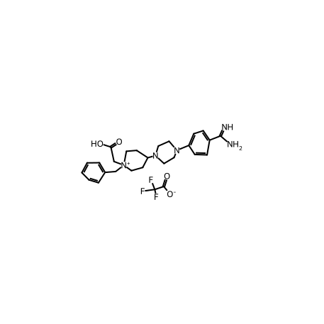 N=C(N)c1ccc(N2CCN(C3CC[N+](CC(=O)O)(Cc4ccccc4)CC3)CC2)cc1.O=C([O-])C(F)(F)F